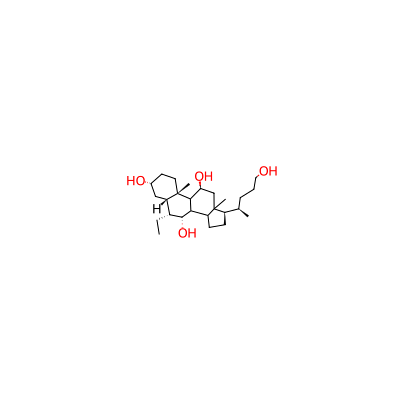 CC[C@H]1[C@@H](O)C2C3CC[C@H]([C@H](C)CCCO)C3(C)C[C@H](O)C2[C@@]2(C)CC[C@@H](O)C[C@@H]12